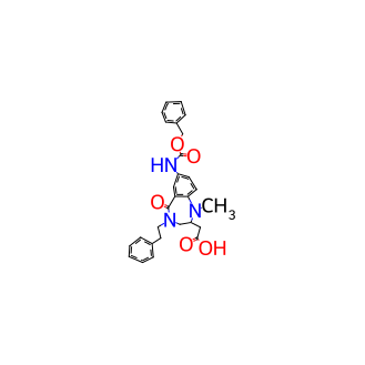 CN1c2ccc(NC(=O)OCc3ccccc3)cc2C(=O)N(CCc2ccccc2)CC1CC(=O)O